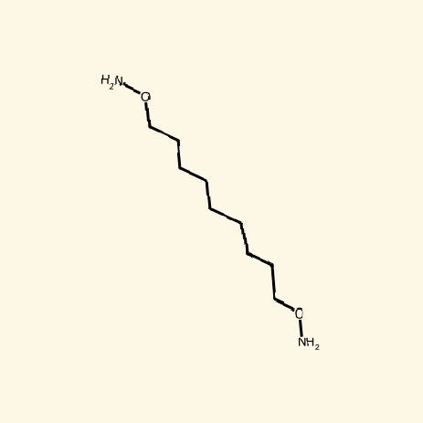 NOCCCCCCCCCON